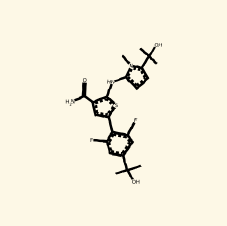 Cn1c(Nc2sc(-c3c(F)cc(C(C)(C)O)cc3F)cc2C(N)=O)ccc1C(C)(C)O